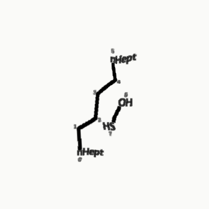 CCCCCCCCCCCCCCCCCC.OS